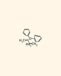 C=CC=C.P.c1ccc(Oc2ccccc2)cc1